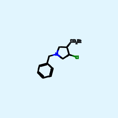 CCOC(=O)C1CN(Cc2ccccc2)CC1Cl